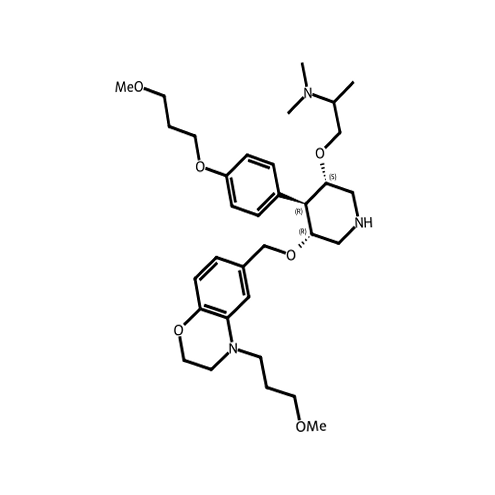 COCCCOc1ccc([C@@H]2[C@@H](OCc3ccc4c(c3)N(CCCOC)CCO4)CNC[C@H]2OCC(C)N(C)C)cc1